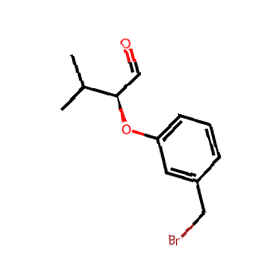 CC(C)[C@@H](C=O)Oc1cccc(CBr)c1